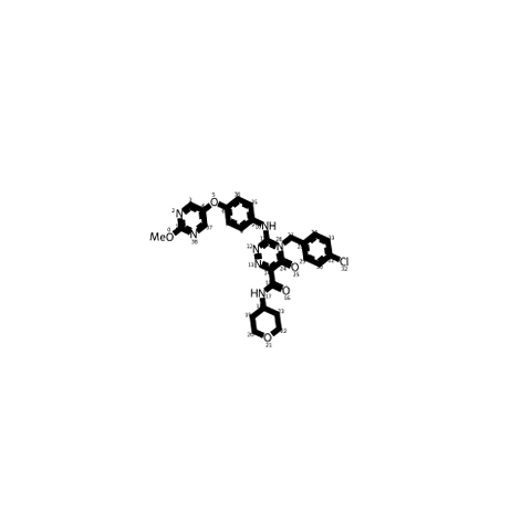 COc1ncc(Oc2ccc(Nc3nnc(C(=O)NC4CCOCC4)c(=O)n3Cc3ccc(Cl)cc3)cc2)cn1